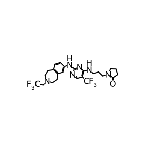 O=C1CCCN1CCCNc1nc(Nc2ccc3c(c2)CCN(CC(F)(F)F)CC3)ncc1C(F)(F)F